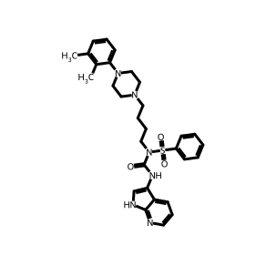 Cc1cccc(N2CCN(CCCCN(C(=O)Nc3c[nH]c4ncccc34)S(=O)(=O)c3ccccc3)CC2)c1C